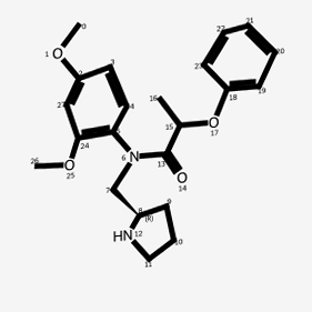 COc1ccc(N(C[C@H]2CCCN2)C(=O)C(C)Oc2ccccc2)c(OC)c1